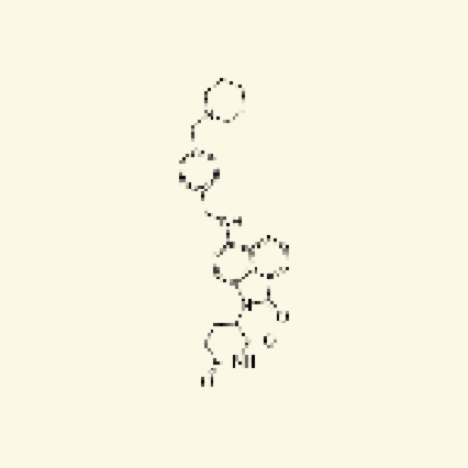 O=C1CCC(N2C(=O)c3cccc4c(NCc5ccc(CN6CCCCC6)cc5)ccc2c34)C(=O)N1